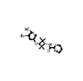 CC1(C)[C@H](NC(=O)c2ncccn2)C(C)(C)[C@H]1Oc1ccc(C#N)c(Br)c1